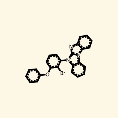 Brc1c(Oc2ccccc2)cccc1-n1c2ccccc2n2c3ccccc3nc12